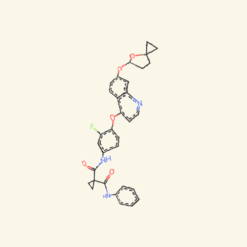 O=C(Nc1ccccc1)C1(C(=O)Nc2ccc(Oc3ccnc4cc(OC5CCC6(CC6)O5)ccc34)c(F)c2)CC1